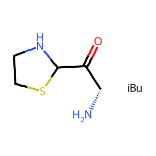 CC[C@H](C)[C@H](N)C(=O)C1NCCS1